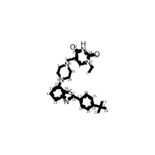 CCn1cc(CN2CCN(c3cccc4nc(-c5ccc(C(C)(C)C)cc5)sc34)CC2)c(=O)[nH]c1=O